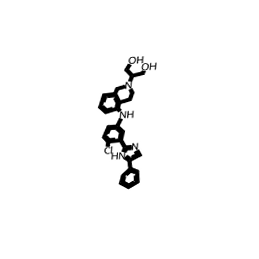 OCC(CO)N1CCc2c(cccc2Nc2ccc(Cl)c(-c3ncc(-c4ccccc4)[nH]3)c2)C1